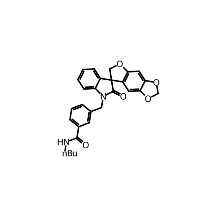 CCCCNC(=O)c1cccc(CN2C(=O)C3(COc4cc5c(cc43)OCO5)c3ccccc32)c1